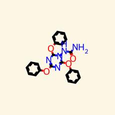 NC(=O)NN1C(Oc2ccccc2)=NC(Oc2ccccc2)=NC1Oc1ccccc1